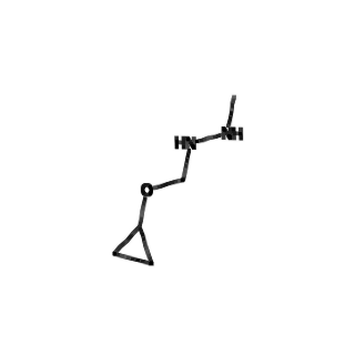 CNNCOC1CC1